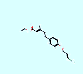 CCOC(=O)C=C(C)CCc1ccc(OCC=CCl)cc1